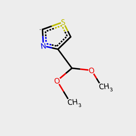 COC(OC)c1cs[c]n1